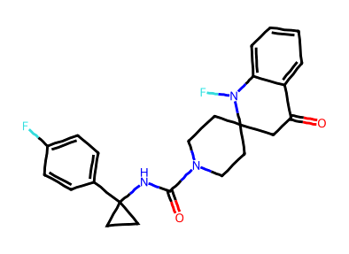 O=C1CC2(CCN(C(=O)NC3(c4ccc(F)cc4)CC3)CC2)N(F)c2ccccc21